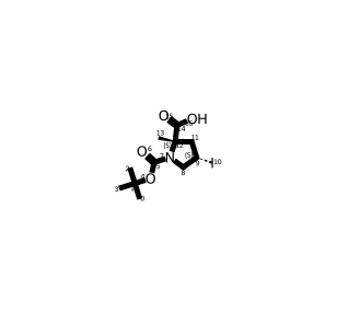 CC(C)(C)OC(=O)N1C[C@@H](I)C[C@@]1(C)C(=O)O